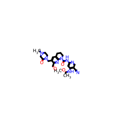 COC(C)Nc1cc(NC(=O)N2CCCc3cc(CN4CCN(C)CC4=O)c(C=O)nc32)ncc1C#N